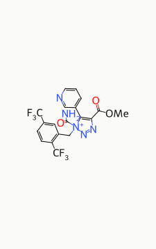 COC(=O)C1=C(c2cccnc2)[N+](Cc2cc(C(F)(F)F)ccc2C(F)(F)F)(C(N)=O)N=N1